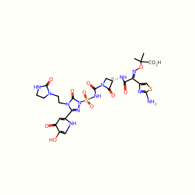 CC(C)(ON=C(C(=O)N[C@H]1CN(C(=O)NS(=O)(=O)n2nc(-c3cc(=O)c(O)c[nH]3)n(CCN3CCNC3=O)c2=O)C1=O)c1csc(N)n1)C(=O)O